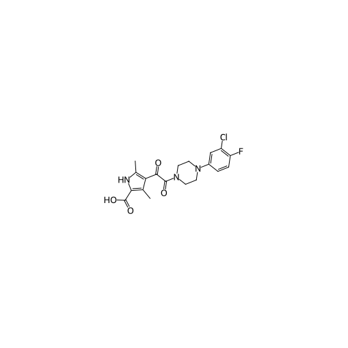 Cc1[nH]c(C(=O)O)c(C)c1C(=O)C(=O)N1CCN(c2ccc(F)c(Cl)c2)CC1